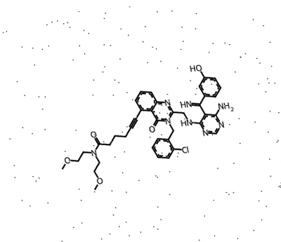 COCCN(CCOC)C(=O)CCCC#Cc1cccc2nc(CNc3ncnc(N)c3C(=N)c3cccc(O)c3)n(Cc3ccccc3Cl)c(=O)c12